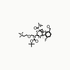 CN(C)C(=O)[C@]12C[C@H]1[C@@](C)(c1cc(C=O)ccc1F)N=C(N(COCC[Si](C)(C)C)C(=O)OC(C)(C)C)S2